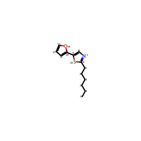 CCCCCCc1ncc(-c2ccco2)s1